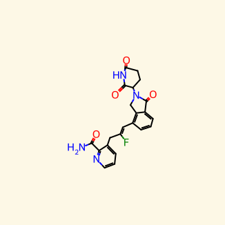 NC(=O)c1ncccc1CC(F)=Cc1cccc2c1CN(C1CCC(=O)NC1=O)C2=O